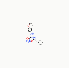 NC(=O)[C@H](CNc1ccc(OC(F)(F)F)cc1)NC(=O)[CH]CC1CCCCC1